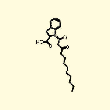 CCCCCCCCCC(=O)CC(=O)N1c2ccccc2CC1C(=O)O